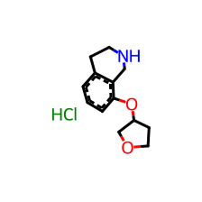 Cl.c1cc2c(c(OC3CCOC3)c1)CNCC2